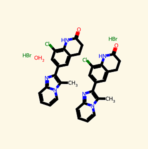 Br.Br.Cc1c(-c2cc(Cl)c3c(c2)CCC(=O)N3)nc2ccccn12.Cc1c(-c2cc(Cl)c3c(c2)CCC(=O)N3)nc2ccccn12.O